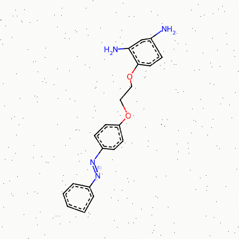 Nc1ccc(OCCOc2ccc(/N=N/c3ccccc3)cc2)c(N)c1